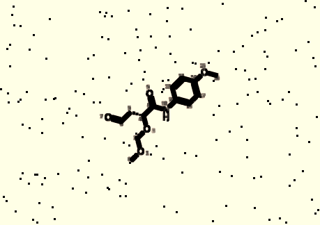 COCO[C@H](CC=O)C(=O)Nc1ccc(OC)cc1